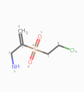 C=C(C[NH])S(=O)(=O)CCCl